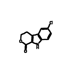 O=C1OCCc2c1[nH]c1ccc(Cl)cc21